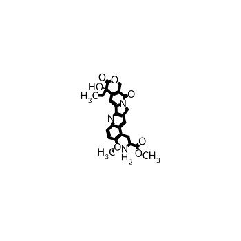 CC[C@@]1(O)C(=O)OCc2c1cc1n(c2=O)Cc2cc3c(CC(N)C(=O)OC)c(OC)ccc3nc2-1